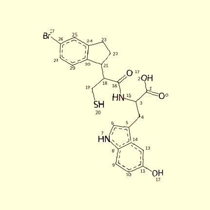 O=C(O)C(Cc1c[nH]c2ccc(O)cc12)NC(=O)C(CS)C1CCc2cc(Br)ccc21